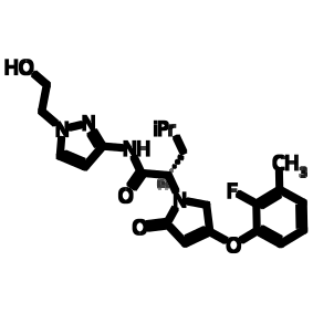 Cc1cccc(OC2=CC(=O)N([C@@H](CC(C)C)C(=O)Nc3ccn(CCO)n3)C2)c1F